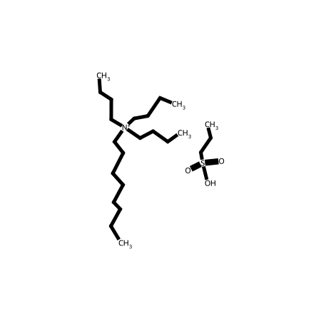 CCCCCCCC[N+](CCCC)(CCCC)CCCC.CCCS(=O)(=O)O